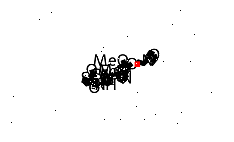 COC(=O)c1sccc1S(=O)(=O)Nc1ccc(Oc2ccnc3cc(OCCCN4CCOCC4)c(OC)cc23)c(F)c1